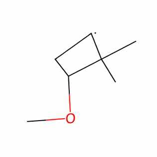 COC1C[CH]C1(C)C